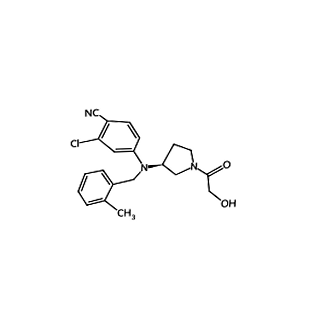 Cc1ccccc1CN(c1ccc(C#N)c(Cl)c1)[C@H]1CCN(C(=O)CO)C1